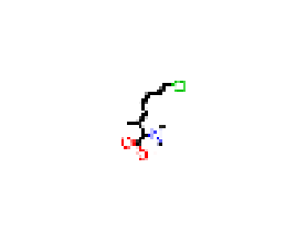 C\C(=C/C=C\C=C\Cl)C(C(=O)O)N(C)C